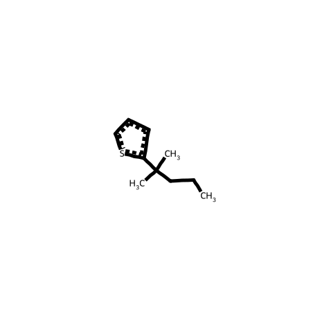 CCCC(C)(C)c1cccs1